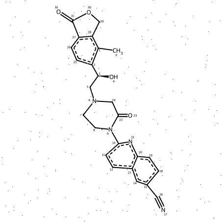 Cc1c([C@@H](O)CN2CCN(c3ccc4cc(C#N)ccc4n3)C(=O)C2)ccc2c1COC2=O